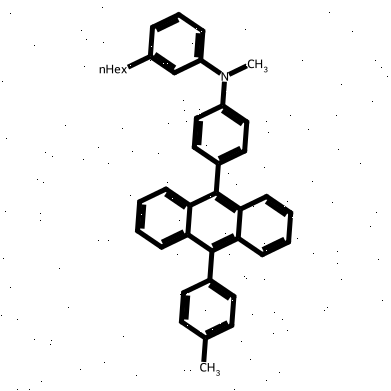 CCCCCCc1cccc(N(C)c2ccc(-c3c4ccccc4c(-c4ccc(C)cc4)c4ccccc34)cc2)c1